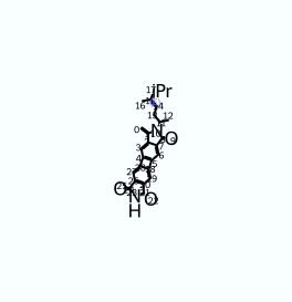 C=C1c2cc3c(cc2C(=O)N1C(C)C/C=C(\C)C(C)C)c1cc2c(=O)[nH]c(=O)c2cc31